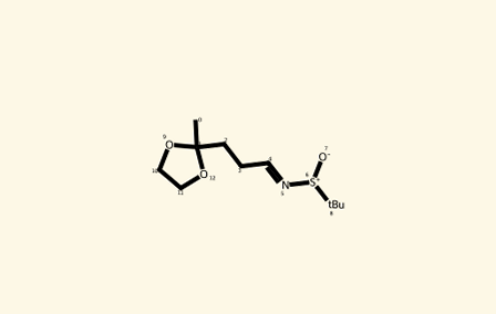 CC1(CCC=N[S+]([O-])C(C)(C)C)OCCO1